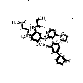 C=CC(=O)Nc1cc(Nc2cc(N3OCC[C@@H]3c3cc(F)cc(-c4cccc(F)c4)c3)ncn2)c(OC)cc1N(C)CCN(C)C